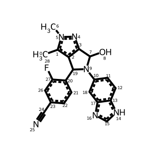 Cc1c2c(nn1C)C(O)N(c1ccc3[nH]cnc3c1)C2c1ccc(C#N)cc1F